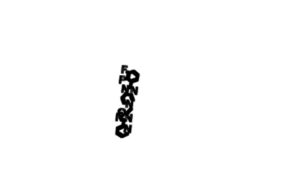 Fc1cccc(-c2nc3ccn(Cc4nc(-c5ccccn5)no4)cc-3n2)c1F